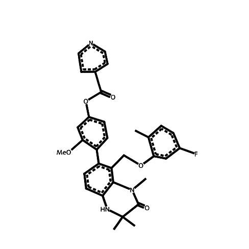 COc1cc(OC(=O)c2ccncc2)ccc1-c1ccc2c(c1COc1cc(F)ccc1C)N(C)C(=O)C(C)(C)N2